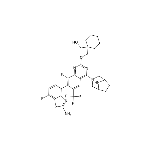 Nc1nc2c(-c3c(C(F)(F)F)cc4c(N5CC6CCC(C5)N6)nc(OCC5(CO)CCCCC5)nc4c3F)ccc(F)c2s1